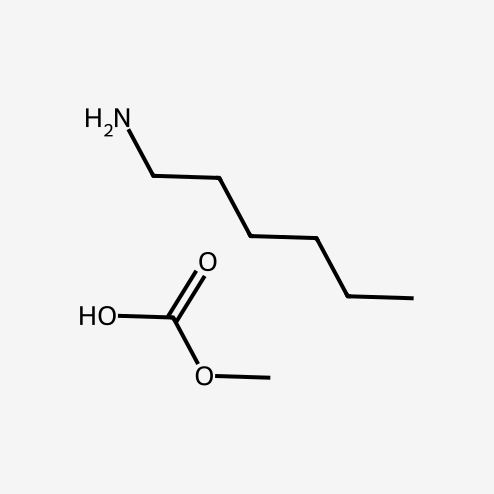 CCCCCCN.COC(=O)O